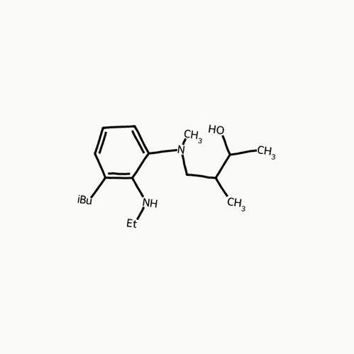 CCNc1c(C(C)CC)cccc1N(C)CC(C)C(C)O